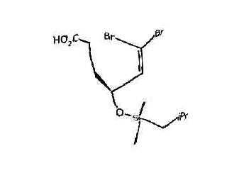 CC(C)C[Si](C)(C)O[C@H](C=C(Br)Br)CCC(=O)O